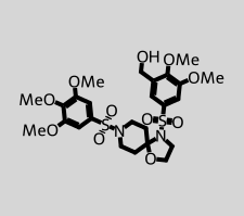 COc1cc(S(=O)(=O)N2CCOC23CCN(S(=O)(=O)c2cc(OC)c(OC)c(OC)c2)CC3)cc(CO)c1OC